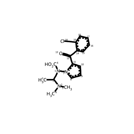 CC(N(C)C)N(C(=O)O)n1cccc1C(=O)c1ccccc1Cl